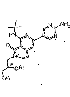 CC(C)(C)Nc1nc(-c2cnc(N)nc2)cc2ccn(C[C@@H](O)CO)c(=O)c12